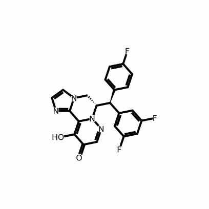 O=c1cnn2c(c1O)-c1nccn1C[C@@H]2[C@@H](c1ccc(F)cc1)c1cc(F)cc(F)c1